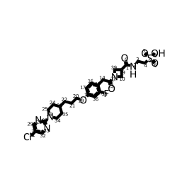 O=C(NCCS(=O)(=O)O)C1CN(C(=O)Cc2ccc(OCCCC3CCN(c4ncc(Cl)cn4)CC3)cc2F)C1